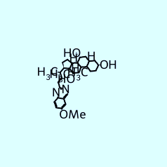 COc1ccc2nc(CC[C@@H](C)[C@H]3CC[C@H]4[C@H]5C(C[C@H](O)[C@]34C)[C@@]3(C)CC[C@@H](O)C[C@H]3C[C@H]5O)ncc2c1